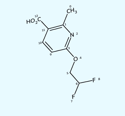 Cc1nc(OCC(F)F)ccc1C(=O)O